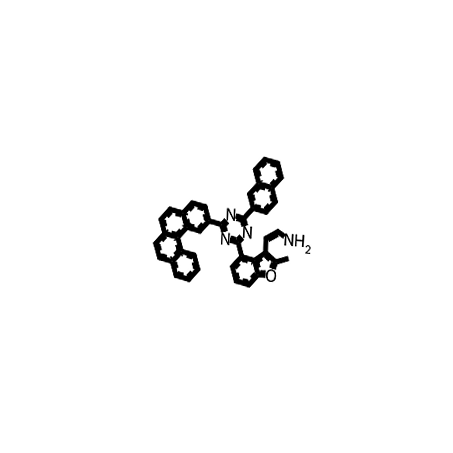 Cc1oc2cccc(-c3nc(-c4ccc5ccccc5c4)nc(-c4ccc5ccc6ccc7ccccc7c6c5c4)n3)c2c1/C=C\N